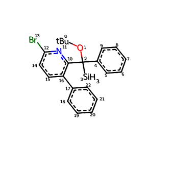 CC(C)(C)OC([SiH3])(c1ccccc1)c1nc(Br)ccc1-c1ccccc1